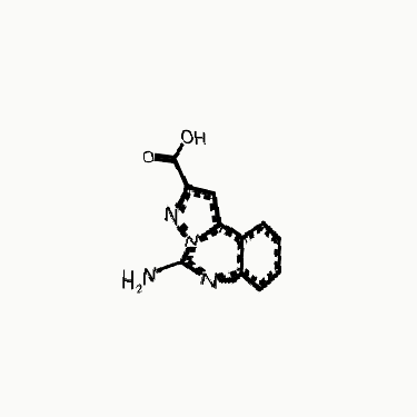 Nc1nc2ccccc2c2cc(C(=O)O)nn12